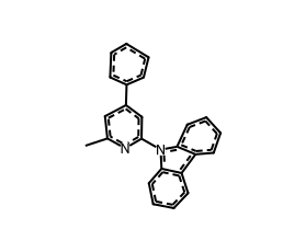 Cc1cc(-c2ccccc2)cc(-n2c3ccccc3c3ccccc32)n1